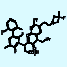 Cc1cc(-c2c(C)cccc2F)c(F)c([C@H](CC(=O)O)NC(=O)[C@H](CC(C)C)n2cc(CCN3CC(C)(F)C3)c(C(C)C)nc2=O)c1F